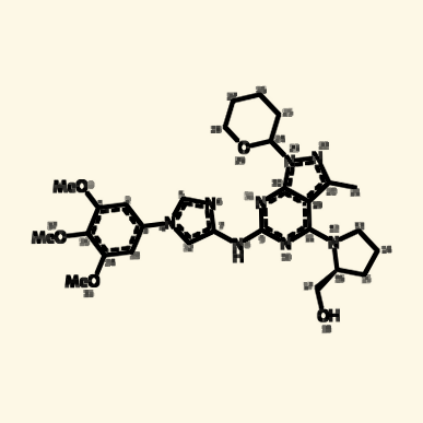 COc1cc(-n2cnc(Nc3nc(N4CCC[C@H]4CO)c4c(C)nn(C5CCCCO5)c4n3)c2)cc(OC)c1OC